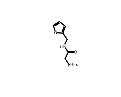 CCCCCCCC(=O)NCc1ccco1